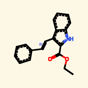 CCOC(=O)c1[nH]c2ccccc2c1/C=C/c1ccccc1